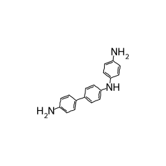 Nc1ccc(Nc2ccc(-c3ccc(N)cc3)cc2)cc1